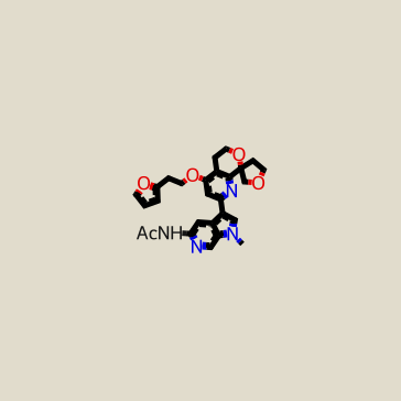 CC(=O)Nc1cc2c(-c3cc(OCCc4ccco4)c4c(n3)C3(CCOC3)OCC4)cn(C)c2cn1